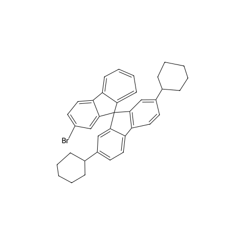 Brc1ccc2c(c1)C1(c3ccccc3-2)c2cc(C3CCCCC3)ccc2-c2ccc(C3CCCCC3)cc21